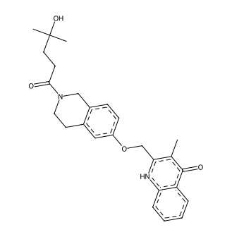 Cc1c(COc2ccc3c(c2)CCN(C(=O)CCC(C)(C)O)C3)[nH]c2ccccc2c1=O